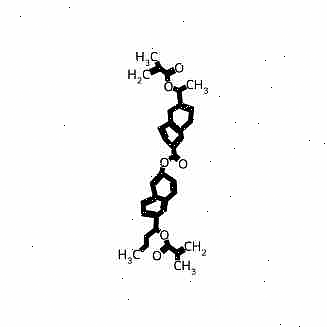 C=C(C)C(=O)OC(C)C1=CCc2cc(C(=O)Oc3ccc4cc(C(CCC)OC(=O)C(=C)C)ccc4c3)ccc2C1